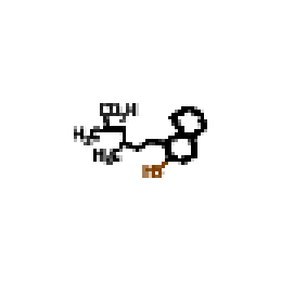 CC(=CC(C)CCc1c(S)ccc2ccccc12)C(=O)O